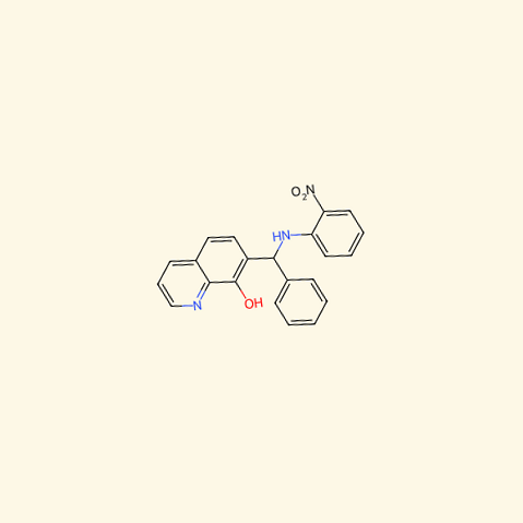 O=[N+]([O-])c1ccccc1NC(c1ccccc1)c1ccc2cccnc2c1O